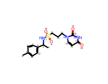 Cc1ccc(C(C)NS(=O)(=O)CCCn2ccc(=O)[nH]c2=O)cc1